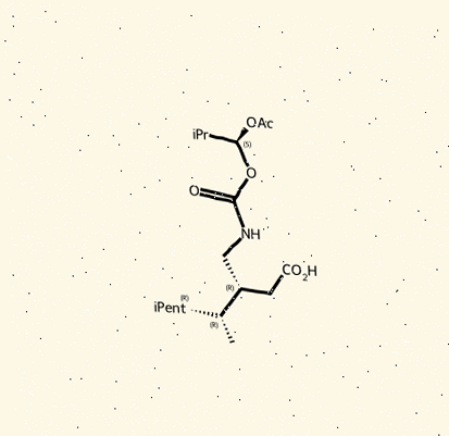 CCC[C@@H](C)[C@@H](C)[C@H](CNC(=O)O[C@H](OC(C)=O)C(C)C)CC(=O)O